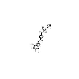 N=c1[nH]c(N)nc2ncc(CNc3ccc(C(=O)NC(C=O)CCC(=O)O)cc3)nc12